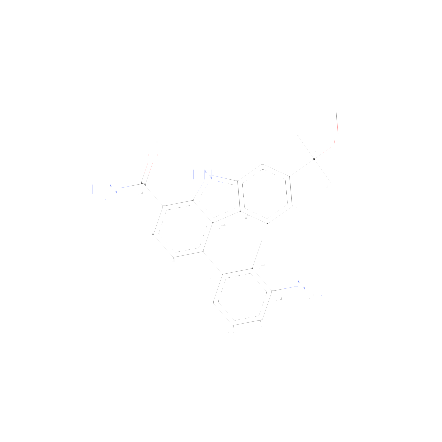 COC(C)(C)c1ccc2c(c1)[nH]c1c(C(N)=O)ccc(-c3cccc(N)c3C)c12